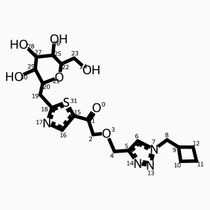 O=C(COCc1cn(CC2CCC2)nn1)c1cnc(CC2OC(CO)C(O)C(O)C2O)s1